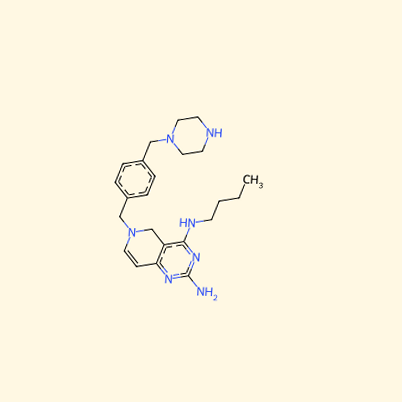 CCCCNc1nc(N)nc2c1CN(Cc1ccc(CN3CCNCC3)cc1)C=C2